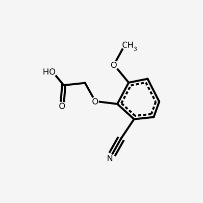 COc1cccc(C#N)c1OCC(=O)O